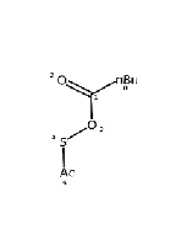 CCCCC(=O)OSC(C)=O